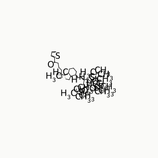 C[C@H](CCCC(=O)c1cccs1)[C@H]1CC[C@H]2/C(=C/C=C3C[C@@H](O[Si](C)(C)C(C)(C)C)C(O[Si](C)(C)C(C)(C)C)[C@H](O[Si](C)(C)C(C)(C)C)C3)CCC[C@]12C